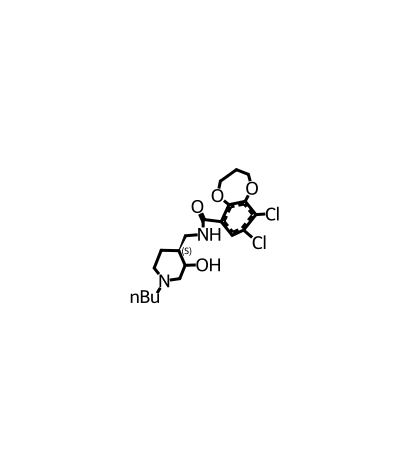 CCCCN1CC[C@@H](CNC(=O)c2cc(Cl)c(Cl)c3c2OCCCO3)C(O)C1